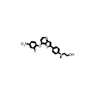 CN(CCO)c1ccc(-c2cc3nccc(Oc4ccc([N+](=O)[O-])cc4F)c3s2)cc1